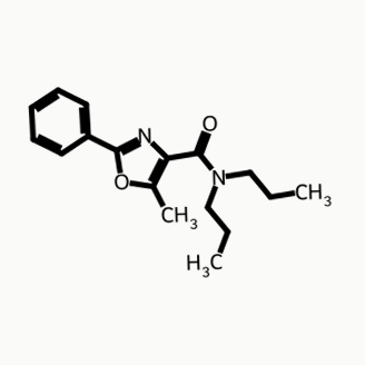 CCCN(CCC)C(=O)c1nc(-c2ccccc2)oc1C